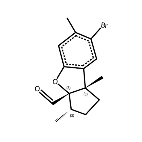 Cc1cc2c(cc1Br)[C@]1(C)CC[C@H](C)[C@]1(C=O)O2